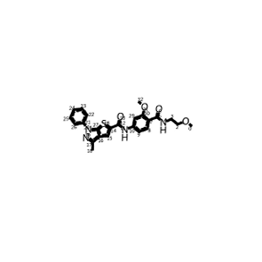 COCCNC(=O)c1ccc(NC(=O)c2cc3c(C)nn(-c4ccccc4)c3s2)cc1OC